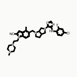 Cc1c(CN2CCC3CN(c4ocnc4Nc4ccc(Cl)cc4F)CC32)ccc2c1cc(C#N)n2CCN1CCN(C)CC1